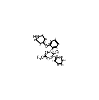 O=C(ON(c1ccccc1OC1CCNCC1)S(=O)(=O)c1ccccn1)C(F)(F)F